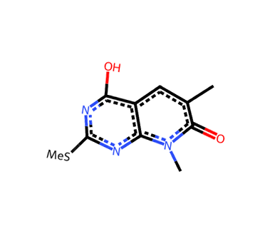 CSc1nc(O)c2cc(C)c(=O)n(C)c2n1